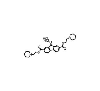 Cl.Cl.O=C(SCCN1CCCCC1)c1ccc2c(c1)C(=O)c1cc(C(=O)SCCN3CCCCC3)ccc1-2